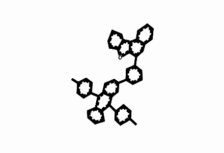 Cc1ccc(-c2c3ccccc3c(-c3ccc(C)cc3)c3cc(-c4cccc(-c5cc6ccccc6c6c5oc5ccccc56)c4)ccc23)cc1